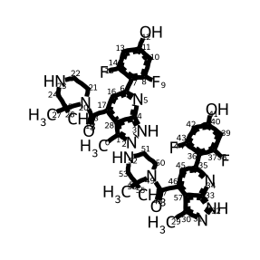 Cc1n[nH]c2nc(-c3c(F)cc(O)cc3F)cc(C(=O)N3CCNCC3(C)C)c12.Cc1n[nH]c2nc(-c3c(F)cc(O)cc3F)cc(C(=O)N3CCNCC3(C)C)c12